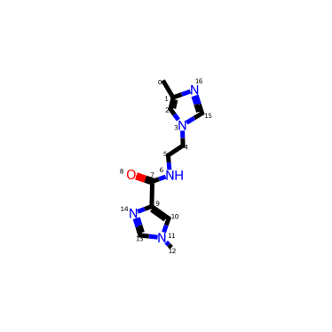 Cc1cn(CCNC(=O)c2cn(C)cn2)cn1